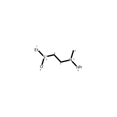 CCCN(C)CC[S+]([O-])CC